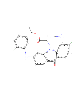 CCOC(=O)Cn1c2cc(Nc3ccccc3F)ccc2c(=O)c2ccc(Cl)c(N(C)C)c21